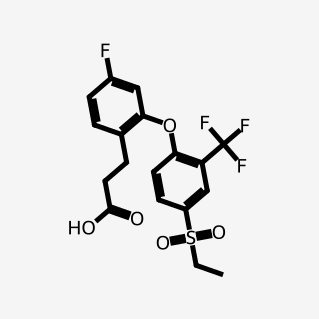 CCS(=O)(=O)c1ccc(Oc2cc(F)ccc2CCC(=O)O)c(C(F)(F)F)c1